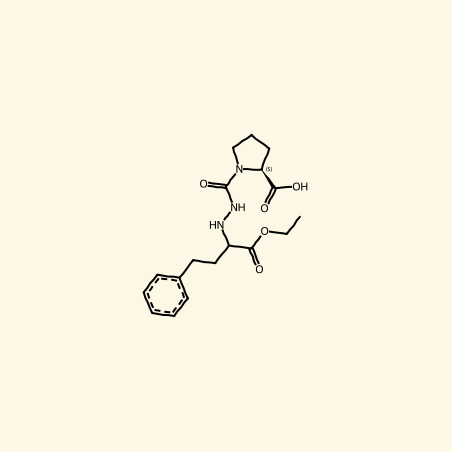 CCOC(=O)C(CCc1ccccc1)NNC(=O)N1CCC[C@H]1C(=O)O